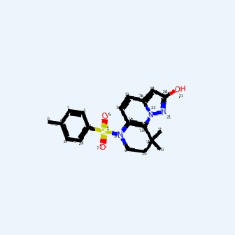 Cc1ccc(S(=O)(=O)N2CCC(C)(C)c3c2ccc2cc(O)nn32)cc1